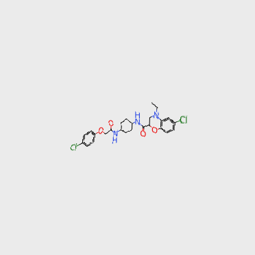 CCN1CC(C(=O)NC2CCC(NC(=O)COc3ccc(Cl)cc3)CC2)Oc2ccc(Cl)cc21